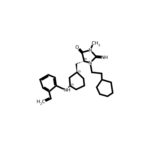 C=Cc1ccccc1N[C@H]1CCC[C@H](C[C@@H]2C(=O)N(C)C(=N)N2CCC2CCCCC2)C1